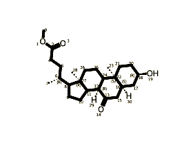 COC(=O)CC[C@@H](C)C1CCC2[C@@H]3C(=O)C[C@@H]4C[C@H](O)CC[C@]4(C)C3CC[C@@]21C